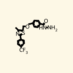 Cc1nc(-c2ccc(C(F)(F)F)cc2)sc1COCc1ccc(C(=O)NN)cc1